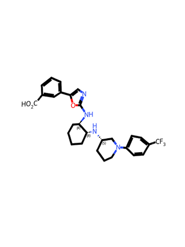 O=C(O)c1cccc(-c2cnc(N[C@@H]3CCCC[C@H]3N[C@H]3CCCN(c4ccc(C(F)(F)F)cc4)C3)o2)c1